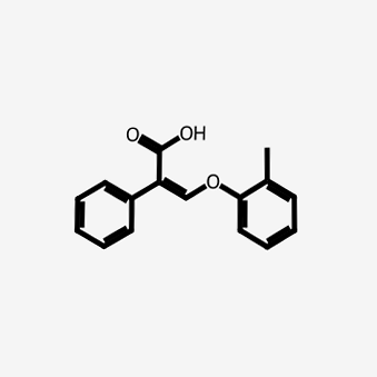 Cc1ccccc1OC=C(C(=O)O)c1ccccc1